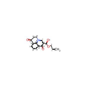 C=CCOC(=O)c1cn2c3c(cccc3c1=O)C(=O)CC2